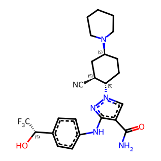 N#C[C@H]1C[C@@H](N2CCCCC2)CC[C@@H]1n1cc(C(N)=O)c(Nc2ccc([C@H](O)C(F)(F)F)cc2)n1